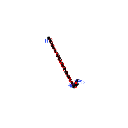 CC(C)[C@H](NC(=O)CCOCCOCCOCCOCCOCCOCCOCCOCCOCCOCCOCCOCCOCCOCCOCCOCCOCCOCCOCCOCCNC(=O)CCC(C)(C)C)C(=O)N[C@@H](CCCNC(N)=O)C(=O)C(C)(C)C